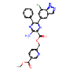 CCOC(=O)c1ccc(COC(=O)c2nc(-c3cc(Cl)c4[nH]ncc4c3)c(-c3ccccc3)nc2N)nc1